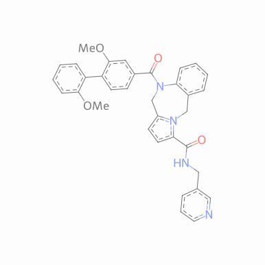 COc1ccccc1-c1ccc(C(=O)N2Cc3ccc(C(=O)NCc4cccnc4)n3Cc3ccccc32)cc1OC